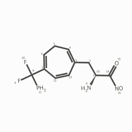 N[C@@H](CC1=CCC=C(C(F)(F)P)C=C1)C(=O)N=O